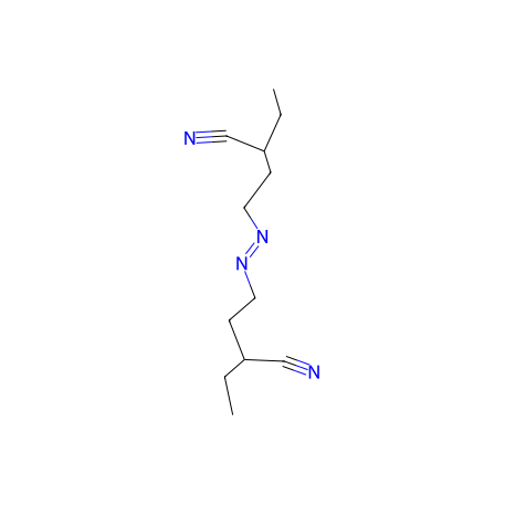 CCC(C#N)CCN=NCCC(C#N)CC